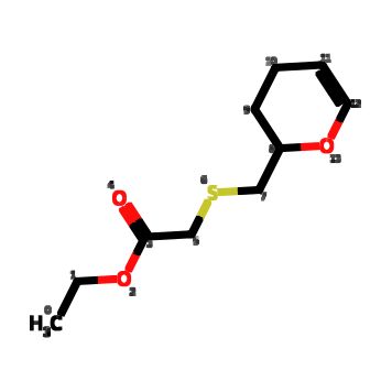 CCOC(=O)CSCC1CCC=CO1